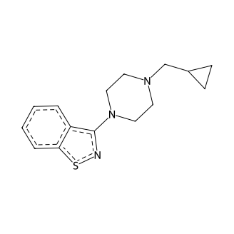 c1ccc2c(N3CCN(CC4CC4)CC3)nsc2c1